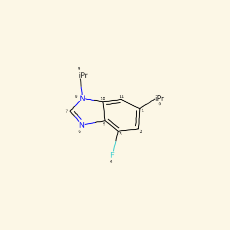 CC(C)c1cc(F)c2ncn(C(C)C)c2c1